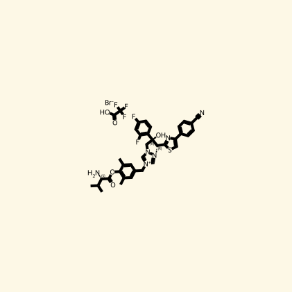 Cc1cc(C[n+]2cnn(C[C@](O)(c3ccc(F)cc3F)[C@@H](C)c3nc(-c4ccc(C#N)cc4)cs3)c2)cc(C)c1OC(=O)[C@@H](N)C(C)C.O=C(O)C(F)(F)F.[Br-]